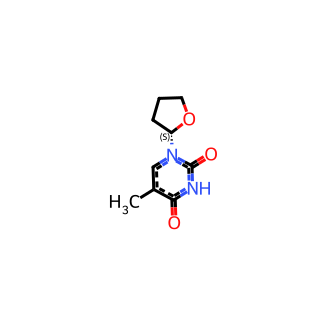 Cc1cn([C@@H]2CCCO2)c(=O)[nH]c1=O